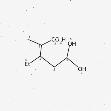 CCC(CC(O)O)C(C)C(=O)O